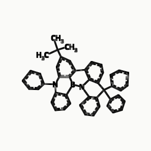 CC(C)(C)c1cc2c3c(c1)N(c1ccccc1)c1ccccc1B3N1c3ccccc3C(c3ccccc3)(c3ccccc3)c3cccc-2c31